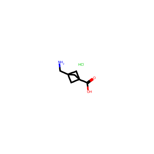 Cl.NCC12CC(C(=O)O)(C1)C2